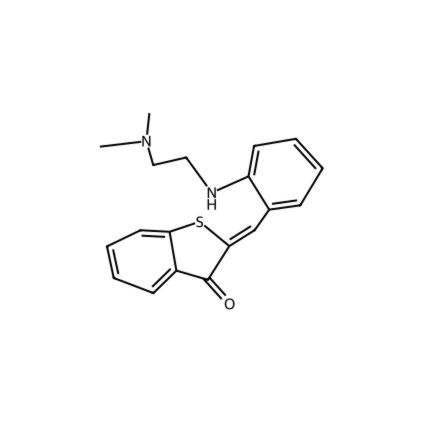 CN(C)CCNc1ccccc1C=C1Sc2ccccc2C1=O